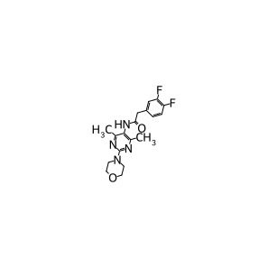 Cc1nc(N2CCOCC2)nc(C)c1NC(=O)Cc1ccc(F)c(F)c1